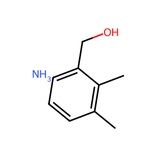 Cc1cccc(CO)c1C.N